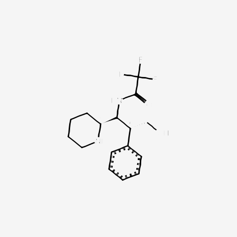 O=C(NC([C@@H]1CCCCN1)[C@H](CO)c1ccccc1)C(F)(F)F